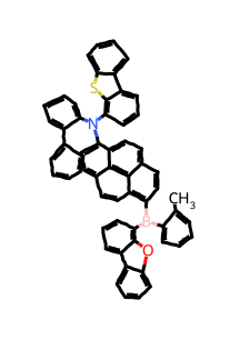 Cc1ccccc1B(c1ccc2ccc3c(N(c4ccccc4-c4ccccc4)c4cccc5c4sc4ccccc45)ccc4ccc1c2c43)c1cccc2c1oc1ccccc12